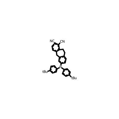 CC(C)(C)c1ccc(N(c2ccc(C(C)(C)C)cc2)c2ccc3c(c2)Cc2ccc(C#N)c(C#N)c2CC3)cc1